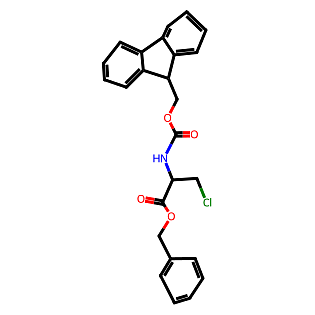 O=C(NC(CCl)C(=O)OCc1ccccc1)OCC1c2ccccc2-c2ccccc21